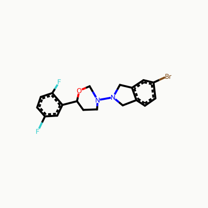 Fc1ccc(F)c(C2CCN(N3Cc4ccc(Br)cc4C3)CO2)c1